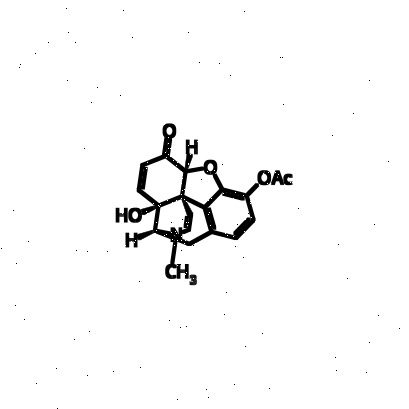 CC(=O)Oc1ccc2c3c1O[C@H]1C(=O)C=C[C@@]4(O)[C@@H](C2)N(C)C=C[C@]314